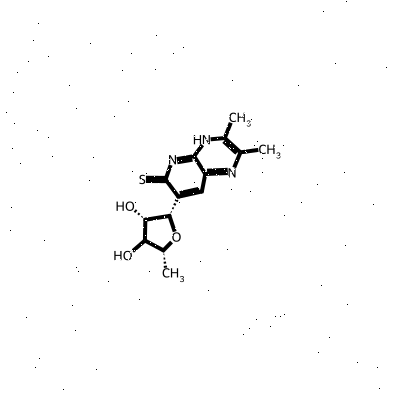 Cc1nc2cc([C@@H]3O[C@H](C)C(O)[C@@H]3O)c(=S)nc-2[nH]c1C